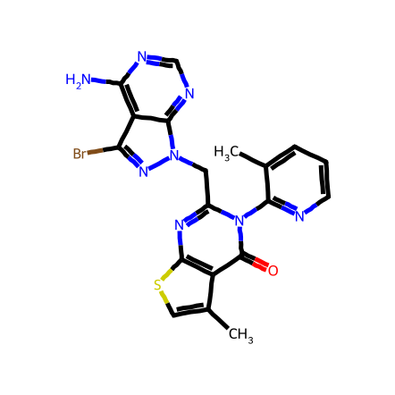 Cc1cccnc1-n1c(Cn2nc(Br)c3c(N)ncnc32)nc2scc(C)c2c1=O